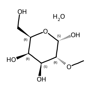 CO[C@@H]1[C@@H](O)[C@@H](O)[C@@H](CO)O[C@@H]1O.O